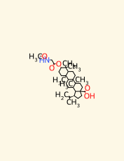 C=C(C)[C@@H]1CCC2(C(=O)O)CCC3(C)C(CCC4C5(C)CCC(OC(=O)CNOC)C(C)(C)C5CCC43C)C12